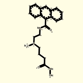 CN(CCCC(=O)NO)CCNC(=O)c1c2ccccc2cc2ccccc12